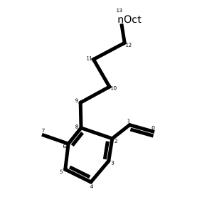 C=Cc1cccc(C)c1CCCCCCCCCCCC